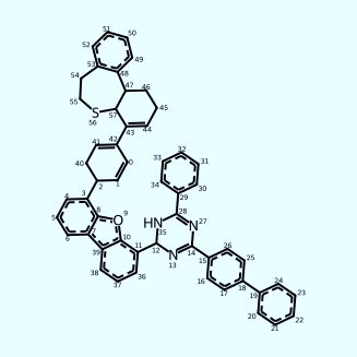 C1=CC(c2cccc3c2oc2c(C4N=C(c5ccc(-c6ccccc6)cc5)N=C(c5ccccc5)N4)cccc23)CC=C1C1=CCCC2c3ccccc3CCSC12